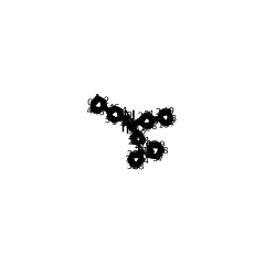 c1ccc(-c2ccc(-c3nc(-c4ccc(-c5ccccc5)cc4)n(-c4ccc(N(c5ccccc5)c5ccccc5)cc4)n3)cc2)cc1